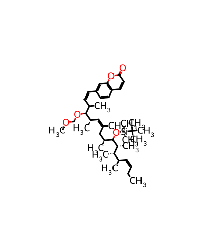 CC/C=C\C(C)[C@H](C)[C@@H](C)[C@H](O[Si](C)(C)C(C)(C)C)[C@@H](C)C/C(C)=C\[C@H](C)[C@@H](OCOC)C(C)/C=C\c1ccc2ccc(=O)oc2c1